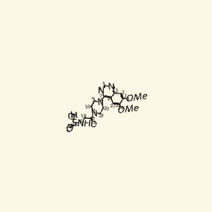 COc1cc2ncnc(N3CCN(C(=O)CN[SH](=O)=O)CC3)c2cc1OC